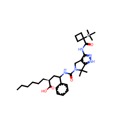 CCCCCC[C@@H](CC(NC(=O)N1Cc2c(NC(=O)C3([Si](C)(C)C)CCC3)n[nH]c2C1(C)C)c1ccccc1)C(=O)O